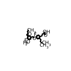 CCc1cc2cc(OC(F)(F)F)cc(COc3cc(CCC(C)C)c(CCC(=O)O)cc3F)c2o1